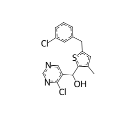 Cc1cc(Cc2cccc(Cl)c2)sc1C(O)c1cncnc1Cl